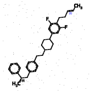 C/C=C/CCc1c(F)cc(C2CCC(CCc3ccc(C[C@@H](C)c4ccccc4)cc3)CC2)cc1F